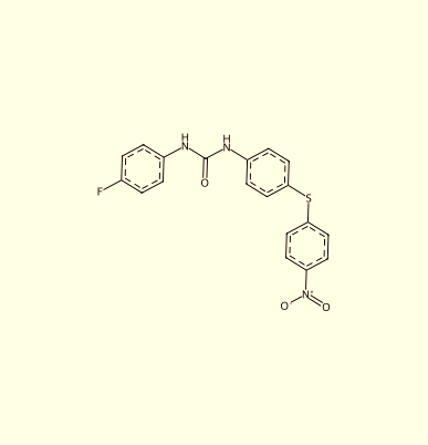 O=C(Nc1ccc(F)cc1)Nc1ccc(Sc2ccc([N+](=O)[O-])cc2)cc1